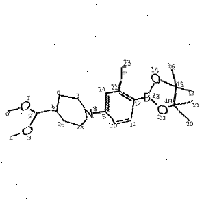 COC(OC)C1CCN(c2ccc(B3OC(C)(C)C(C)(C)O3)c(F)c2)CC1